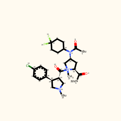 CNC(=O)[C@@H]1C[C@H](N(C(=O)C(C)(C)C)C2CCC(F)(F)CC2)C[N+]1(C)C(=O)[C@@H]1CN(C(C)(C)C)C[C@H]1c1ccc(Cl)cc1